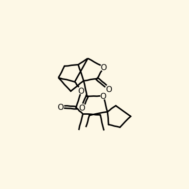 CCC(C)C(=O)OC1C2CC3C1OC(=O)C3(C(=O)OC1(CC)CCCC1)C2